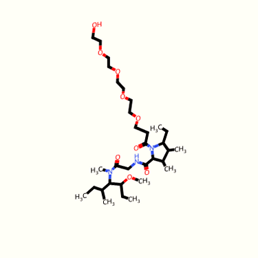 CCC(C)C(C(CC)OC)N(C)C(=O)CNC(=O)C1C(C)C(C)C(CC)N1C(=O)CCOCCOCCOCCOCCO